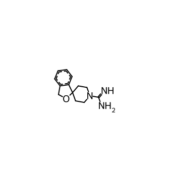 N=C(N)N1CCC2(CC1)OCc1ccccc12